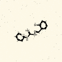 N=C(N/N=C/c1ccccc1Br)Nc1ccccc1